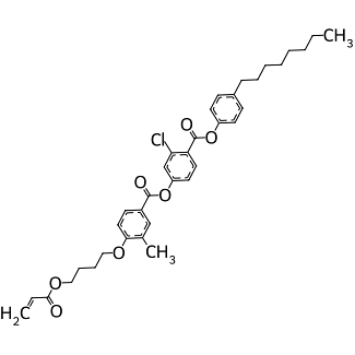 C=CC(=O)OCCCCOc1ccc(C(=O)Oc2ccc(C(=O)Oc3ccc(CCCCCCCC)cc3)c(Cl)c2)cc1C